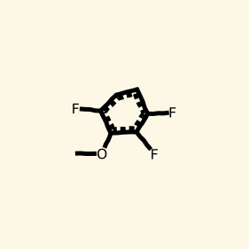 COc1c(F)ccc(F)c1F